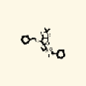 CC1(C)OC2O[C@]3(CC[C@H]3OC(=O)c3ccccc3)C(OCc3ccccc3)C2O1